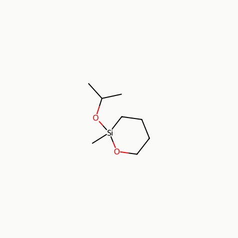 CC(C)O[Si]1(C)CCCCO1